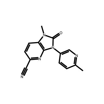 Cc1ccc(-n2c(=O)n(C)c3ccc(C#N)nc32)cn1